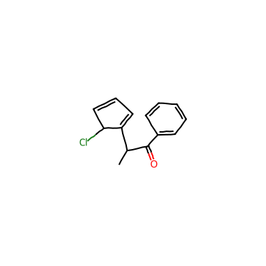 CC(C(=O)c1ccccc1)C1=CC=CC1Cl